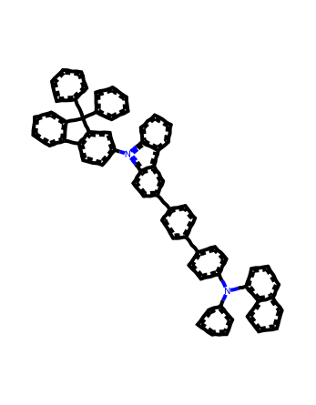 c1ccc(N(c2ccc(-c3ccc(-c4ccc5c(c4)c4ccccc4n5-c4ccc5c(c4)C(c4ccccc4)(c4ccccc4)c4ccccc4-5)cc3)cc2)c2cccc3ccccc23)cc1